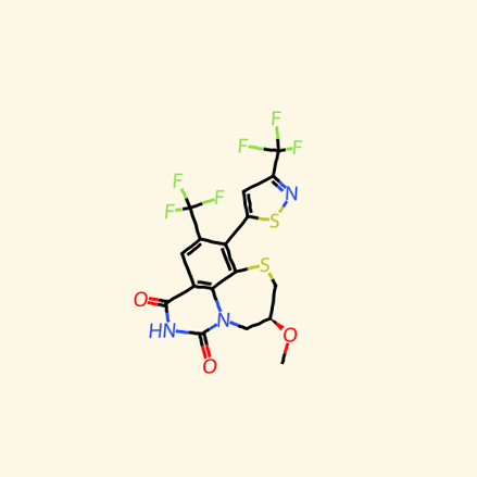 CO[C@@H]1CSc2c(-c3cc(C(F)(F)F)ns3)c(C(F)(F)F)cc3c(=O)[nH]c(=O)n(c23)C1